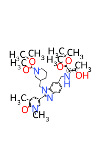 Cc1cc(-c2nc3ccc(CN[C@H](C(=O)OC(C)(C)C)[C@@H](C)O)cc3n2CC2CCCN(C(=O)OC(C)(C)C)C2)cn(C)c1=O